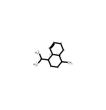 CC(C)C1CCC(C)C2CCC=CC12